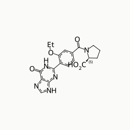 CCOc1cc(C(=O)N2CCC[C@H]2C(=O)O)ccc1-c1nc2[nH]cnc2c(=O)[nH]1